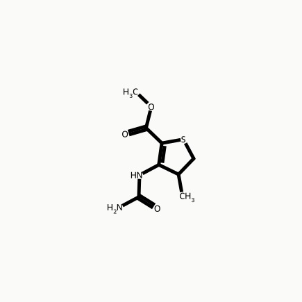 COC(=O)C1=C(NC(N)=O)C(C)CS1